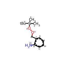 CC(C)(C)[Si](C)(C)OOCc1ccccc1N